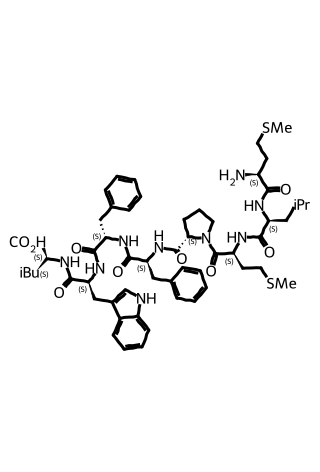 CC[C@H](C)[C@H](NC(=O)[C@H](Cc1c[nH]c2ccccc12)NC(=O)[C@H](Cc1ccccc1)NC(=O)[C@H](Cc1ccccc1)NC(=O)[C@@H]1CCCN1C(=O)[C@H](CCSC)NC(=O)[C@H](CC(C)C)NC(=O)[C@@H](N)CCSC)C(=O)O